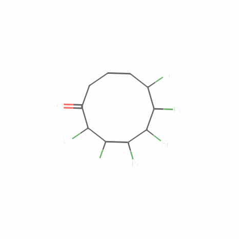 O=C1CCCC(Br)C(Br)C(Br)C(Br)C(Br)C1Br